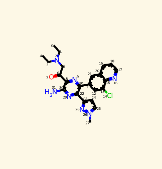 CCN(CC)CC(=O)c1nc(-c2cc(Cl)c3ncccc3c2)c(-c2ccn(C)n2)nc1N